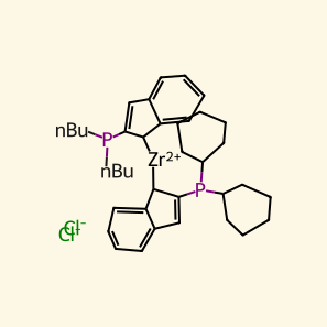 CCCCP(CCCC)C1=Cc2ccccc2[CH]1[Zr+2][CH]1C(P(C2CCCCC2)C2CCCCC2)=Cc2ccccc21.[Cl-].[Cl-]